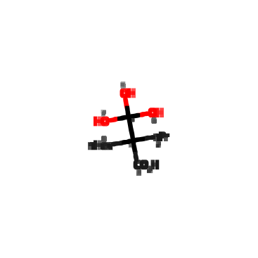 CCCCCCC(CCC)(C(=O)O)C(O)(O)O